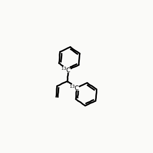 C=C[C]([13c]1ccccc1)[13c]1ccccc1